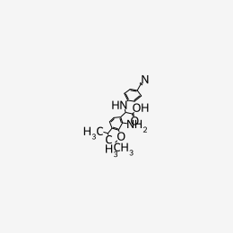 CCOc1c(C(C)C)ccc(C(Nc2ccc(C#N)cc2)C(=O)O)c1N